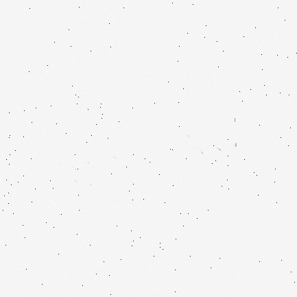 Cn1nnc(-c2ccc(-c3ccc4c(c3)CN3C(=O)O[C@@H](CN)[C@@H]3O4)cn2)n1